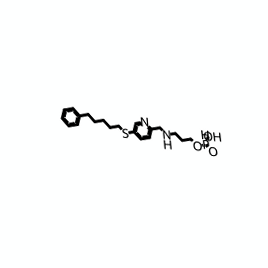 O=[PH](O)OCCCNCc1ccc(SCCCCCc2ccccc2)cn1